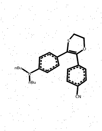 CCCCN(CCCC)c1ccc(C2=C(c3ccc(C#N)cc3)OCCS2)cc1